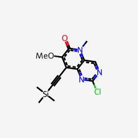 COc1c(C#C[Si](C)(C)C)c2nc(Cl)ncc2n(C)c1=O